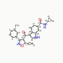 Cc1onc(-c2cccc(F)c2)c1C(=O)c1c[nH]c2cc(C(=O)NC3CC3)ccc12